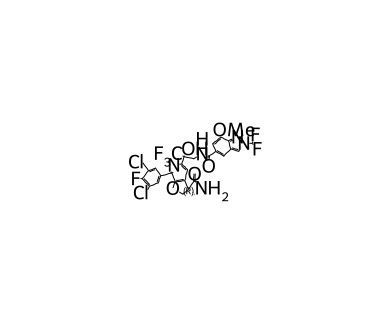 COc1cc(C(=O)NCC(O)(c2cc3c(c(-c4cc(Cl)c(F)c(Cl)c4)n2)OC[C@]3(C)C(N)=O)C(F)(F)F)cc2cn(C(F)F)nc12